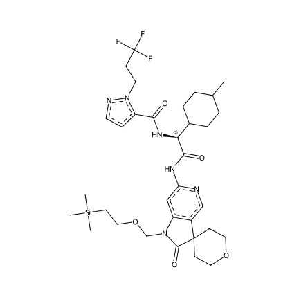 CC1CCC([C@H](NC(=O)c2ccnn2CCC(F)(F)F)C(=O)Nc2cc3c(cn2)C2(CCOCC2)C(=O)N3COCC[Si](C)(C)C)CC1